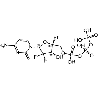 C=C1N=C(N)C=CN1[C@@H]1O[C@](CC)(COP(=O)(O)OP(=O)(O)OP(=O)(O)O)[C@@H](O)C1(F)F